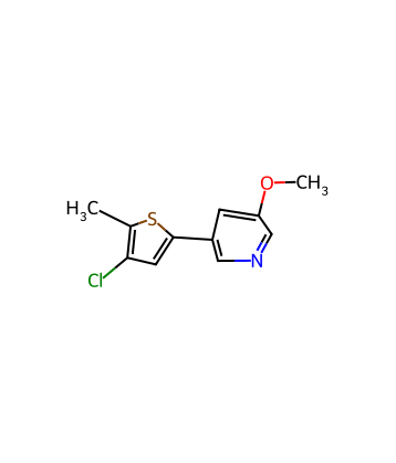 COc1cncc(-c2cc(Cl)c(C)s2)c1